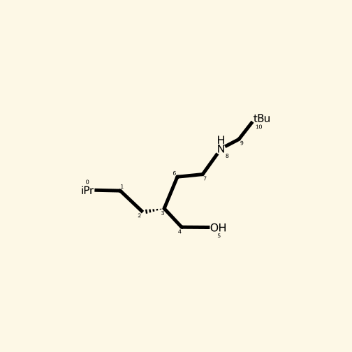 CC(C)CC[C@@H](CO)CCNCC(C)(C)C